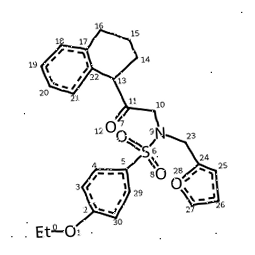 CCOc1ccc(S(=O)(=O)N(CC(=O)C2CCCc3ccccc32)Cc2ccco2)cc1